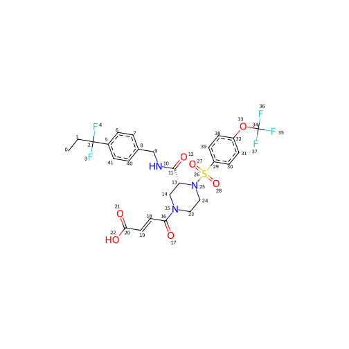 CCC(F)(F)c1ccc(CNC(=O)[C@H]2CN(C(=O)/C=C/C(=O)O)CCN2S(=O)(=O)c2ccc(OC(F)(F)F)cc2)cc1